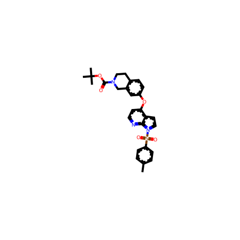 Cc1ccc(S(=O)(=O)n2ccc3c(Oc4ccc5c(c4)CN(C(=O)OC(C)(C)C)CC5)ccnc32)cc1